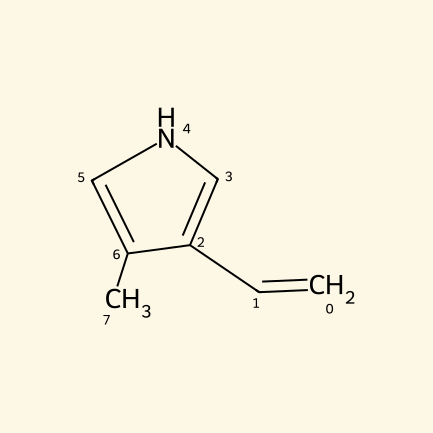 C=Cc1c[nH]cc1C